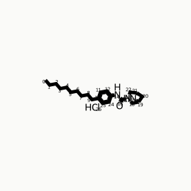 CCCCCCCCCCc1ccc(NC(=O)N2CC3CC(C2)N3)cc1.Cl